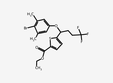 CCOC(=O)c1ccc(C(CCC(F)(F)F)Oc2cc(C)c(Br)c(C)c2)s1